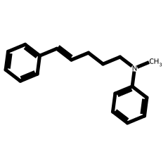 CN(CCCC=Cc1ccccc1)c1ccccc1